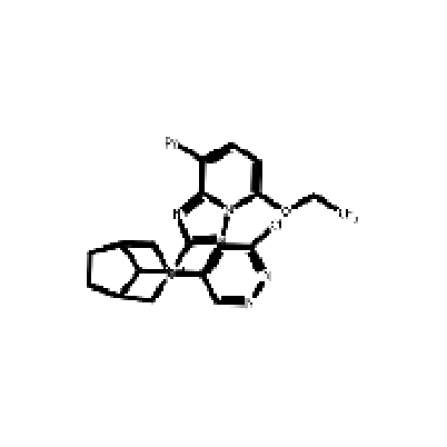 CC(C)c1ccc(OCC(F)(F)F)n2nc(NC3C4CCC3CN(c3cnnc(Cl)c3)C4)nc12